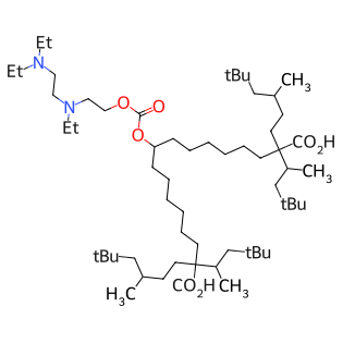 CCN(CC)CCN(CC)CCOC(=O)OC(CCCCCCC(CCC(C)CC(C)(C)C)(C(=O)O)C(C)CC(C)(C)C)CCCCCCC(CCC(C)CC(C)(C)C)(C(=O)O)C(C)CC(C)(C)C